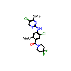 CNc1nc(Nc2cc(OC)c(C(=O)N3CCC(F)(F)CC3)cc2Cl)ncc1Cl